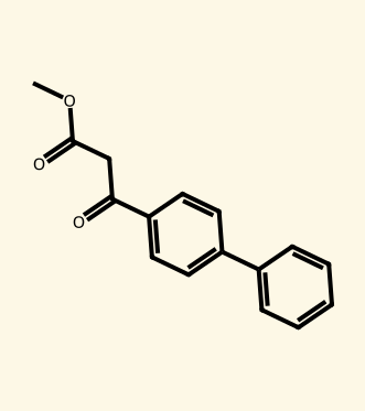 COC(=O)CC(=O)c1ccc(-c2ccccc2)cc1